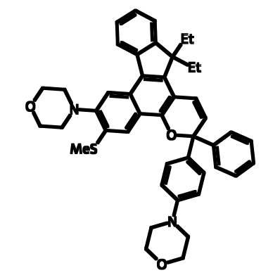 CCC1(CC)c2ccccc2-c2c1c1c(c3cc(SC)c(N4CCOCC4)cc23)OC(c2ccccc2)(c2ccc(N3CCOCC3)cc2)C=C1